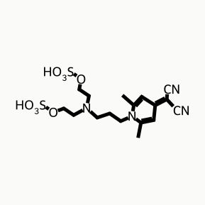 CC1=CC(=C(C#N)C#N)C=C(C)N1CCCN(CCOS(=O)(=O)O)CCOS(=O)(=O)O